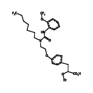 CCOC(Cc1ccc(OCCN(CCCCCCC(F)(F)F)C(=O)Nc2ccccc2OC(F)(F)F)cc1)C(=O)O